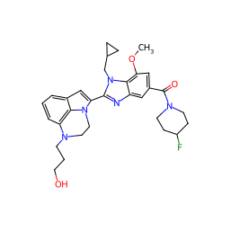 COc1cc(C(=O)N2CCC(F)CC2)cc2nc(-c3cc4cccc5c4n3CCN5CCCO)n(CC3CC3)c12